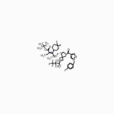 CC/C(C(=O)OC(C)(C)C)=C(/C1CCC(F)(F)CC1)[C@@H](C)OC[C@@H]1CN(C(=O)c2cnn(Cc3ccc(F)cc3)c2)CC12CN(C(=O)C(C)(C)C(F)(F)F)C2